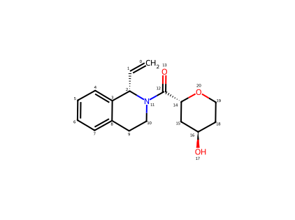 C=C[C@H]1c2ccccc2CCN1C(=O)[C@H]1C[C@H](O)CCO1